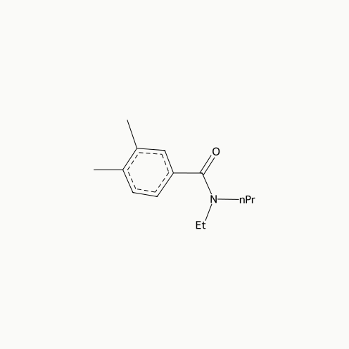 CCCN(CC)C(=O)c1ccc(C)c(C)c1